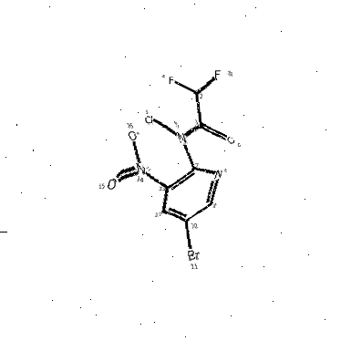 O=C(C(F)F)N(Cl)c1ncc(Br)cc1[N+](=O)[O-]